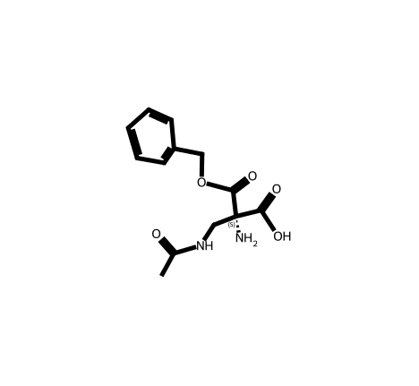 CC(=O)NC[C@](N)(C(=O)O)C(=O)OCc1ccccc1